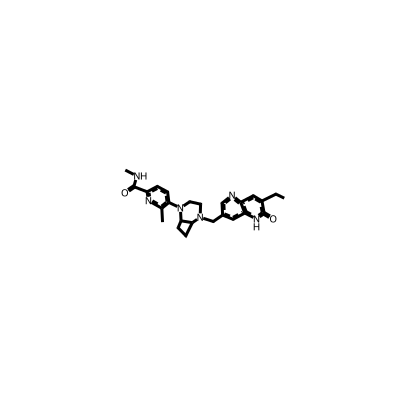 CCc1cc2ncc(CN3CCN(c4ccc(C(=O)NC)nc4C)C4CCC43)cc2[nH]c1=O